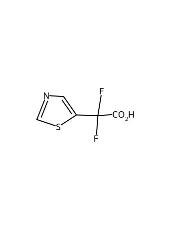 O=C(O)C(F)(F)c1cncs1